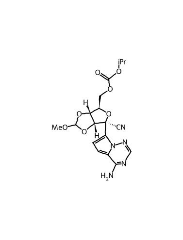 COC1O[C@H]2[C@@H](O1)[C@](C#N)(c1ccc3c(N)ncnn13)O[C@@H]2COC(=O)OC(C)C